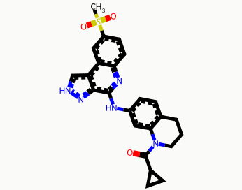 CS(=O)(=O)c1ccc2nc(Nc3ccc4c(c3)N(C(=O)C3CC3)CCC4)c3n[nH]cc3c2c1